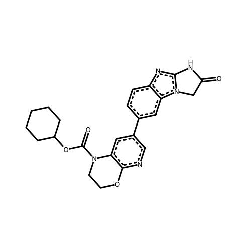 O=C1Cn2c(nc3ccc(-c4cnc5c(c4)N(C(=O)OC4CCCCC4)CCO5)cc32)N1